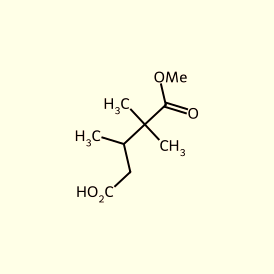 COC(=O)C(C)(C)C(C)CC(=O)O